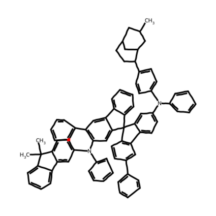 CC1CC2CCC(c3ccc(N(c4ccccc4)c4ccc5c(c4)C4(c6ccccc6-c6cc(-c7ccccc7)c(N(c7ccccc7)c7ccc8c(c7)-c7ccccc7C8(C)C)cc64)c4ccc(-c6ccccc6)cc4-5)cc3)C(C1)C2